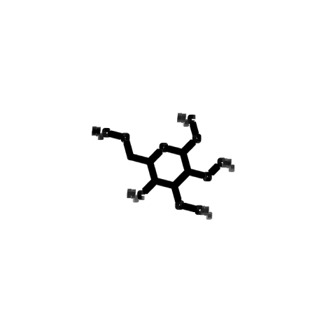 COCC1OC(OC)C(OC)C(OC)C1C